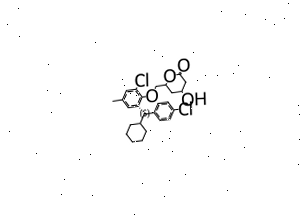 Cc1cc(Cl)c(OCC2CC(O)CC(=O)O2)c([C@H](c2ccc(Cl)cc2)C2CCCCC2)c1